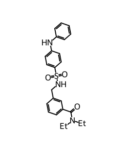 CCN(CC)C(=O)c1cccc(CNS(=O)(=O)c2ccc(Nc3ccccc3)cc2)c1